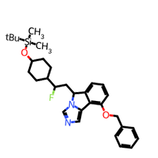 CC(C)(C)[Si](C)(C)OC1CCC(C(F)CC2c3cccc(OCc4ccccc4)c3-c3cncn32)CC1